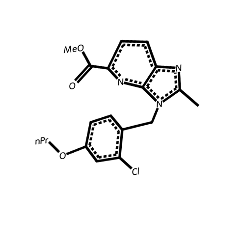 CCCOc1ccc(Cn2c(C)nc3ccc(C(=O)OC)nc32)c(Cl)c1